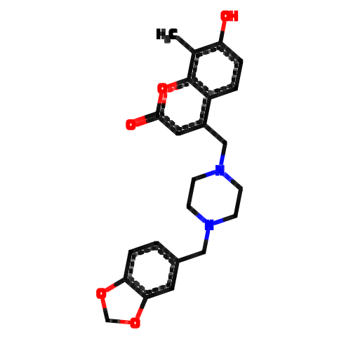 Cc1c(O)ccc2c(CN3CCN(Cc4ccc5c(c4)OCO5)CC3)cc(=O)oc12